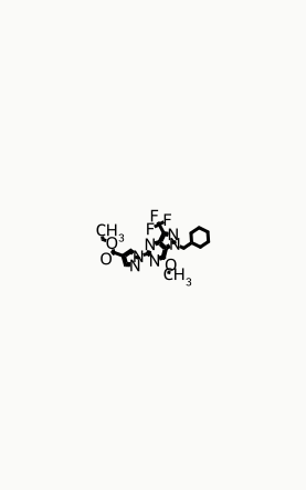 CCOC(=O)c1cnn(-c2nc(OC)c3c(n2)c(C(F)(F)F)nn3CC2CCCCC2)c1